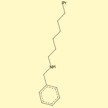 C[C](C)CCCCCCNCc1ccccc1